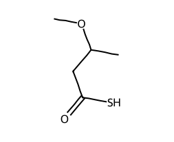 COC(C)CC(=O)S